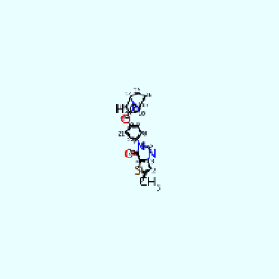 Cc1cc2ncn(-c3ccc(OC4CC5CCC(C4)N5C)cc3)c(=O)c2s1